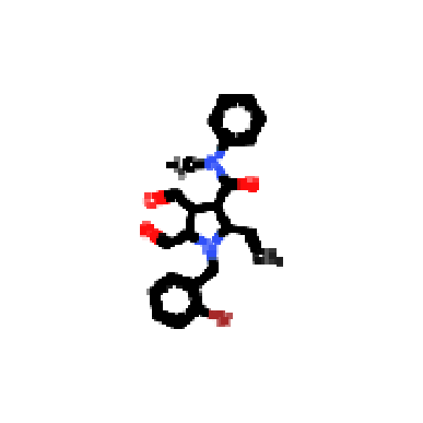 C=CC1C(C(=O)N(C)c2ccccc2)C(C=O)C(C=O)N1Cc1ccccc1Br